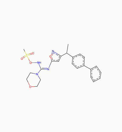 CC(c1ccc(-c2ccccc2)cc1)c1cc(N=C(NOS(C)(=O)=O)N2CCOCC2)on1